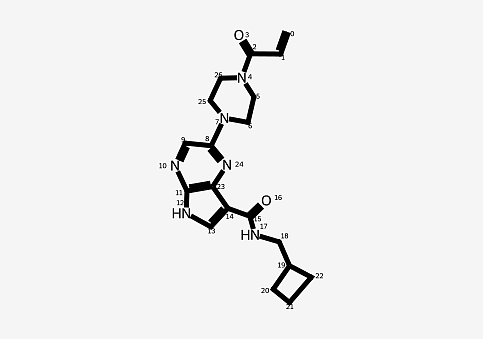 C=CC(=O)N1CCN(c2cnc3[nH]cc(C(=O)NCC4CCC4)c3n2)CC1